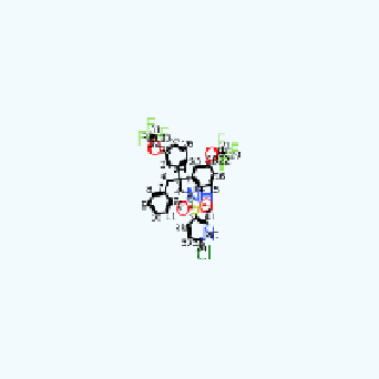 O=S(=O)(NCC(Cc1ccccc1)(c1cccc(OC(F)(F)F)c1)c1cccc(OC(F)(F)F)c1)c1ccc(Cl)nc1